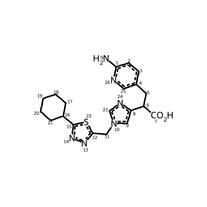 Nc1ccc(CC(C(=O)O)c2cn(Cc3nnc(C4CCCCC4)s3)cn2)cn1